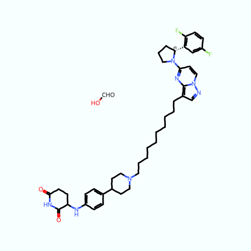 O=C1CCC(Nc2ccc(C3CCN(CCCCCCCCCCc4cnn5ccc(N6CCC[C@@H]6c6cc(F)ccc6F)nc45)CC3)cc2)C(=O)N1.O=CO